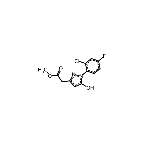 COC(=O)Cc1cc(O)n(-c2ccc(F)cc2Cl)n1